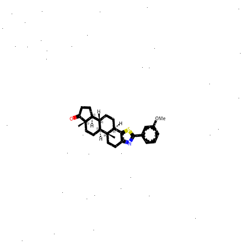 COc1cccc(-c2nc3c(s2)[C@@H]2CC[C@@H]4[C@H](CC[C@]5(C)C(=O)CC[C@@H]45)[C@@]2(C)CC3)c1